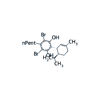 C=C(C)[C@@H]1CCC(C)=C[C@H]1c1c(O)c(Br)c(CCCCC)c(Br)c1O